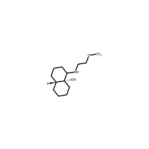 COCCNC1CCC[C@H]2CCCC[C@]12O